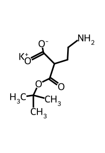 CC(C)(C)OC(=O)C(CCN)C(=O)[O-].[K+]